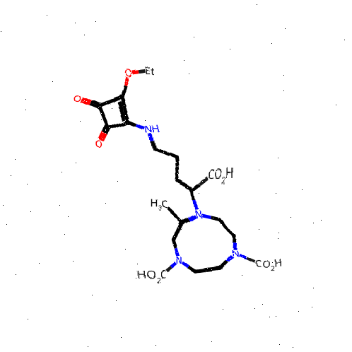 CCOc1c(NCCCC(C(=O)O)N2CCN(C(=O)O)CCN(C(=O)O)CC2C)c(=O)c1=O